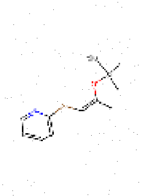 CC(=CSc1ccccn1)O[Si](C)(C)C(C)(C)C